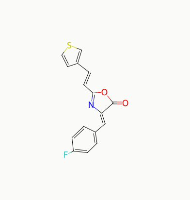 O=C1OC(/C=C/c2ccsc2)=NC/1=C\c1ccc(F)cc1